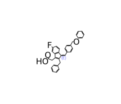 O=C(O)CC1=C(Cc2ccccc2)/C(=C/c2ccc(COc3ccccc3)cc2)c2ccc(F)cc21